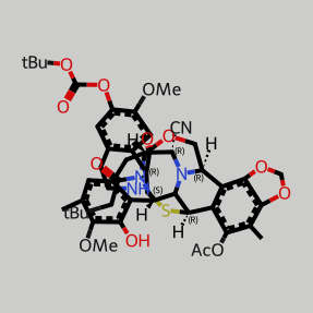 COc1cc2c(cc1OC(=O)OC(C)(C)C)CCN[C@]21CS[C@@H]2c3c(OC(C)=O)c(C)c4c(c3[C@H](COC1=O)N1C2[C@@H]2c3c(cc(C)c(OC)c3O)C[C@H]([C@@H]1C#N)N2C(=O)CC(C)(C)C)OCO4